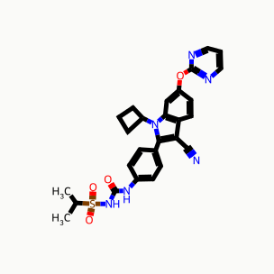 CC(C)S(=O)(=O)NC(=O)Nc1ccc(-c2c(C#N)c3ccc(Oc4ncccn4)cc3n2C2CCC2)cc1